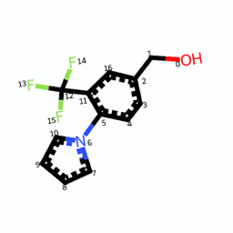 OCc1ccc(-n2cccc2)c(C(F)(F)F)c1